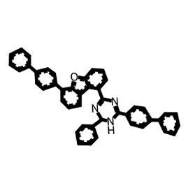 c1ccc(-c2ccc(C3=NC(c4cccc5oc6c(-c7ccc(-c8ccccc8)cc7)cccc6c45)=NC(c4ccccc4)N3)cc2)cc1